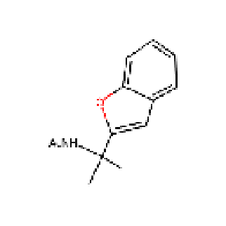 CC(=O)NC(C)(C)c1cc2ccccc2o1